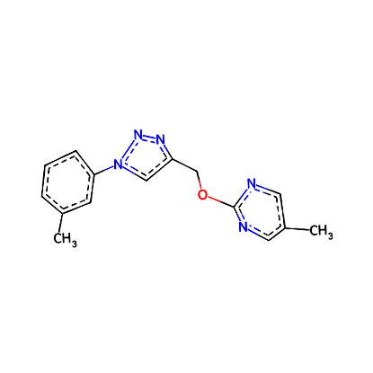 Cc1cnc(OCc2cn(-c3cccc(C)c3)nn2)nc1